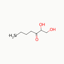 O=C(CCC[SiH2])C(O)CO